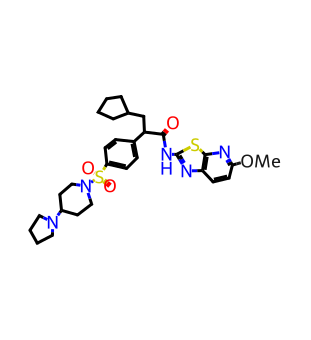 COc1ccc2nc(NC(=O)C(CC3CCCC3)c3ccc(S(=O)(=O)N4CCC(N5CCCC5)CC4)cc3)sc2n1